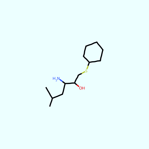 CC(C)CC(N)C(O)CSC1CCCCC1